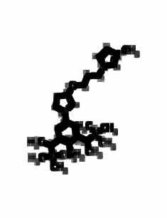 CC(c1cc(N2CCC(OCCCn3cc[n+](C)c3)C2)cc(C(C)[Si](C)(C)C)c1N)[Si](C)(C)C